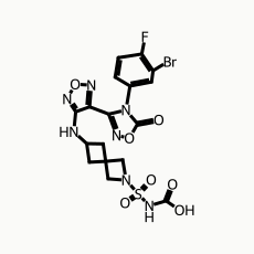 O=C(O)NS(=O)(=O)N1CC2(CC(Nc3nonc3-c3noc(=O)n3-c3ccc(F)c(Br)c3)C2)C1